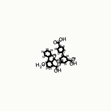 O.O=C(O)c1ccc(-c2cccc(C(=O)O)c2)cc1.O=C(O)c1cccc(-c2ccccc2)c1C(=O)O